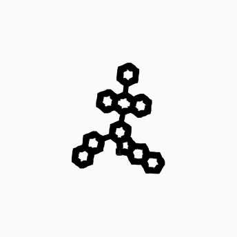 c1ccc(-c2c3ccccc3c(-c3cc(-c4ccc5ccccc5c4)c4oc5cc6ccccc6cc5c4c3)c3ccccc23)cc1